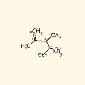 C=C(C)C(C)C(C)CC